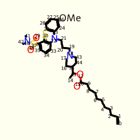 C=CCCCCCCCCC(=O)OC(C)C1CCN(CCCN2c3cc(OC)ccc3Sc3c2cccc3S(=O)(=O)N(C)C)CC1